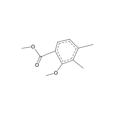 COC(=O)c1ccc(C)c(C)c1OC